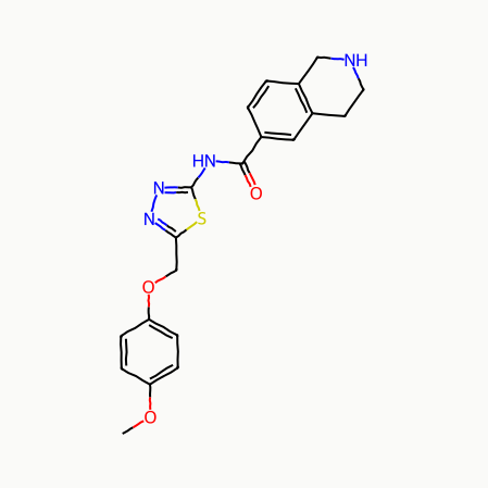 COc1ccc(OCc2nnc(NC(=O)c3ccc4c(c3)CCNC4)s2)cc1